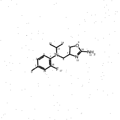 Cc1ccc(N(CC2COC(N)=N2)C(C)C)c(F)c1